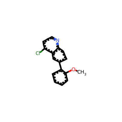 COc1ccccc1-c1ccc2nccc(Cl)c2c1